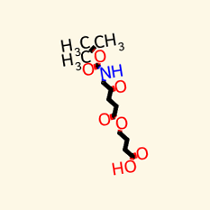 CC(C)(C)OC(=O)NCC(=O)CCC(=O)OCCCC(=O)O